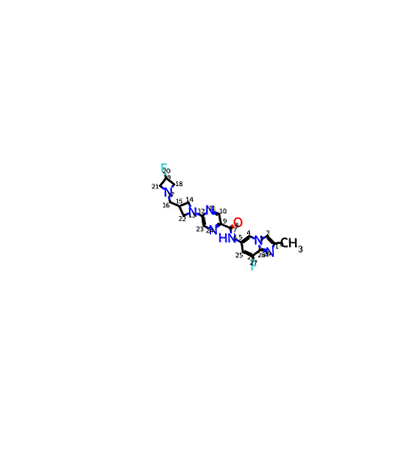 Cc1cn2cc(NC(=O)c3cnc(N4CC(CN5CC(F)C5)C4)cn3)cc(F)c2n1